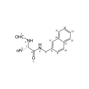 CCC[C@H](NC=O)C(=O)NCc1ccc2ccccc2c1